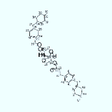 CC1CCC(Cc2ccc(/C=C/C(=O)OC3CO[C@@H]4[C@@H](OOCc5ccc(CC6CCC(C)CC6)cc5)CO[C@H]34)cc2)CC1